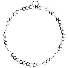 C1=NCCCCCCCCCCCCCCCCCCCCCCCCCCCCCCCCCCCCCCCCCCCC2CCCCN2CCCCC1